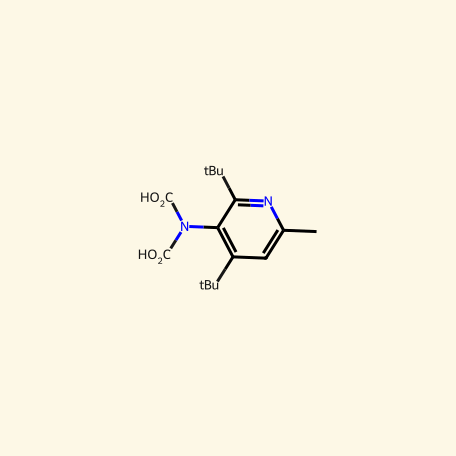 Cc1cc(C(C)(C)C)c(N(C(=O)O)C(=O)O)c(C(C)(C)C)n1